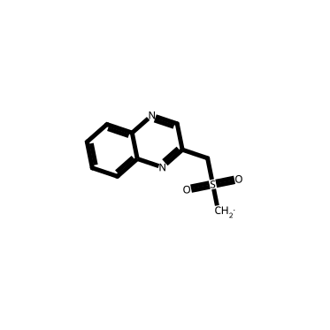 [CH2]S(=O)(=O)Cc1cnc2ccccc2n1